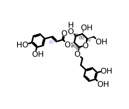 O=C(/C=C/c1ccc(O)c(O)c1)O[C@H]1[C@H](OCCc2ccc(O)c(O)c2)O[C@H](CO)[C@@H](O)[C@@H]1O